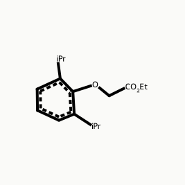 CCOC(=O)COc1c(C(C)C)cccc1C(C)C